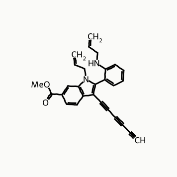 C#CC#CC#Cc1c(-c2ccccc2NCC=C)n(CC=C)c2cc(C(=O)OC)ccc12